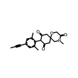 CC#Cc1cc(C)c(C2C(=O)CC3(CC2=O)CN(C)C(=O)CO3)c(C)c1